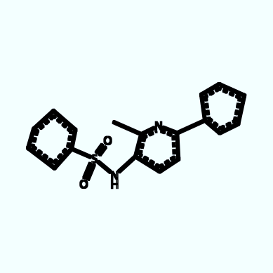 Cc1nc(-c2ccccc2)ccc1NS(=O)(=O)c1ccccc1